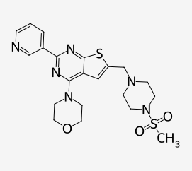 CS(=O)(=O)N1CCN(Cc2cc3c(N4CCOCC4)nc(-c4cccnc4)nc3s2)CC1